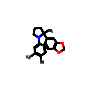 CC1(c2ccc3c(c2)OCO3)CCCN1c1ccc(C#N)c(C(F)(F)F)c1